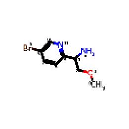 COCC(N)c1ccc(Br)cn1